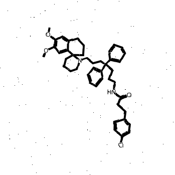 COc1cc2c(cc1OC)C1(CCCCN1CCCC(CCCNC(=O)CCc1ccc(Cl)cc1)(c1ccccc1)c1ccccc1)CCC2